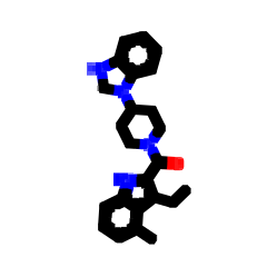 CCc1c(C(=O)N2CCC(N3[CH]Nc4ccccc43)CC2)[nH]c2cccc(C)c12